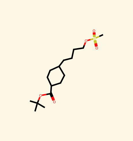 CC(C)(C)OC(=O)C1CCC(CCCCOS(C)(=O)=O)CC1